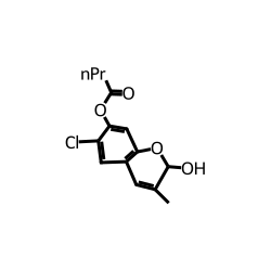 CCCC(=O)Oc1cc2c(cc1Cl)C=C(C)C(O)O2